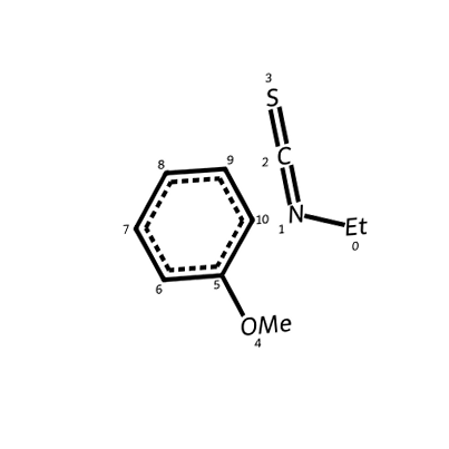 CCN=C=S.COc1ccccc1